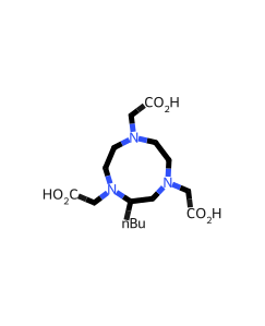 CCCCC1CN(CC(=O)O)CCN(CC(=O)O)CCN1CC(=O)O